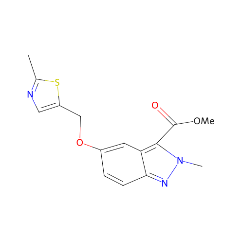 COC(=O)c1c2cc(OCc3cnc(C)s3)ccc2nn1C